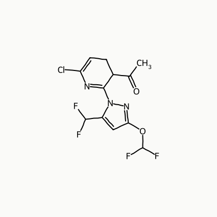 CC(=O)C1CC=C(Cl)N=C1n1nc(OC(F)F)cc1C(F)F